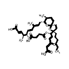 CCCCCC[C@]1([C@H](/C=C/C(C)=C/C(=O)O)OC(=O)CCC(=O)O)CC[C@]2(CC[C@H](C)[C@@H](C/C=C(C)/C=C/[C@H](O)[C@@H](C)/C=C/C(=O)O)O2)O1